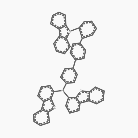 c1ccc(-n2c3ccccc3c3ccccc32)c(-c2ccc(-c3ccc(N(c4cccc5c4oc4ccccc45)c4cccc5c4oc4ccccc45)cc3)cc2)c1